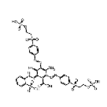 N=C1C(/N=N/c2ccc(S(=O)(=O)CCOS(=O)(=O)O)cc2)=C(N)C(/N=N/c2ccc(S(=O)(=O)CCOS(=O)(=O)O)cc2)=C(C(=O)O)C/1=N/Nc1ccccc1S(=O)(=O)O